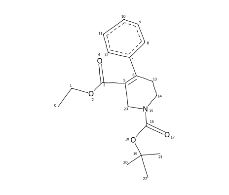 CCOC(=O)C1=C(c2ccccc2)CCN(C(=O)OC(C)(C)C)C1